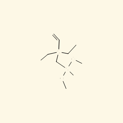 C=C[Si](CC)(CC)C[Si](C)(OC)OC